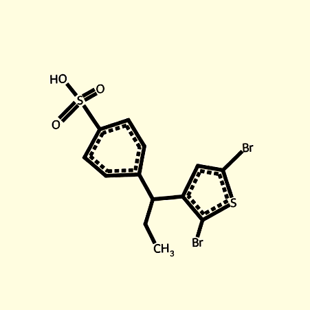 CCC(c1ccc(S(=O)(=O)O)cc1)c1cc(Br)sc1Br